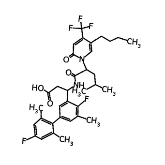 CCCCc1cn(C(CC(C)C)C(=O)NC(CC(=O)O)c2cc(-c3c(C)cc(F)cc3C)cc(C)c2F)c(=O)cc1C(F)(F)F